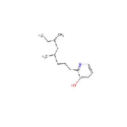 CCC(C)CC(C)CC[CH]c1ncccc1O